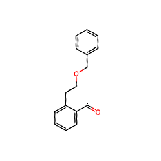 O=[C]c1ccccc1CCOCc1ccccc1